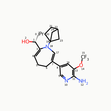 CC(C)[C@@H](O)C1=CCCC(c2cnc(N)c(OC(F)(F)F)c2)=CN1C12CCC(C1)C2